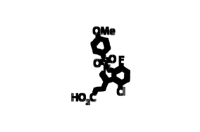 COc1ccc(S(=O)(=O)n2cc(CCC(=O)O)c3c(Cl)ccc(F)c32)cc1